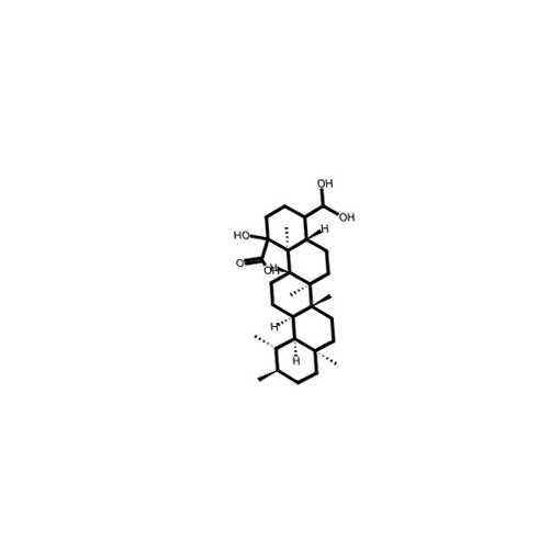 C[C@@H]1[C@H]2[C@H]3CC[C@@H]4[C@]5(C)[C@@H](CC[C@@]4(C)[C@]3(C)CC[C@@]2(C)CC[C@H]1C)C(C(O)O)CCC5(O)C(=O)O